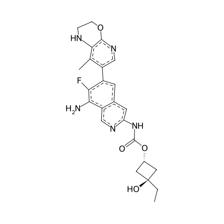 CC[C@]1(O)C[C@H](OC(=O)Nc2cc3cc(-c4cnc5c(c4C)NCCO5)c(F)c(N)c3cn2)C1